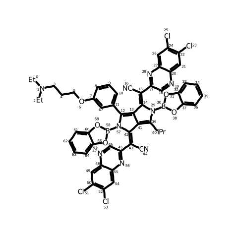 CCN(CC)CCCOc1cccc(-c2c3/c(=C(\C#N)c4cnc5cc(Cl)c(Cl)cc5n4)n(B4Oc5ccccc5O4)c(C(C)C)c3/c(=C(\C#N)c3cnc4cc(Cl)c(Cl)cc4n3)n2B2Oc3ccccc3O2)c1